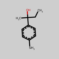 CCC(C)(O)c1ccc([SiH3])cc1